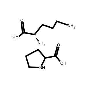 NCCC[C@H](N)C(=O)O.O=C(O)C1CCCN1